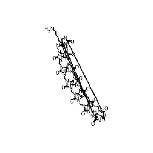 C[C@]12N3CN4C(=O)N5CN6C(=O)N7CN8C(=O)N9CN%10C(=O)N%11CN%12C(=O)N%13CN%14C(=O)N%15CN(C3=O)[C@@]1(CCCCN)N1CN3C(=O)N(CN%16C(=O)N(CN%17C(=O)N(CN%18C(=O)N(CN%19C(=O)N(CN%20C(=O)N(CN2C1=O)[C@H]4[C@@H]%205)[C@H]6[C@@H]%197)[C@H]8[C@@H]%189)[C@H]%10[C@@H]%17%11)[C@H]%12[C@@H]%16%13)[C@H]%14[C@@H]3%15